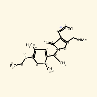 CNCC1=C(/C=C\Cl)C(=O)N(C(C)C2=CC(C)=C(OCC(F)(F)F)CN2C)C1